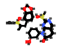 CCCCCCCC[S+]([O-])C(C)Cc1ccc2c(c1)OCO2.C[S+]([O-])c1ncc2ccc(=O)n([C@@H]3CCC[C@@H](O)C3)c2n1